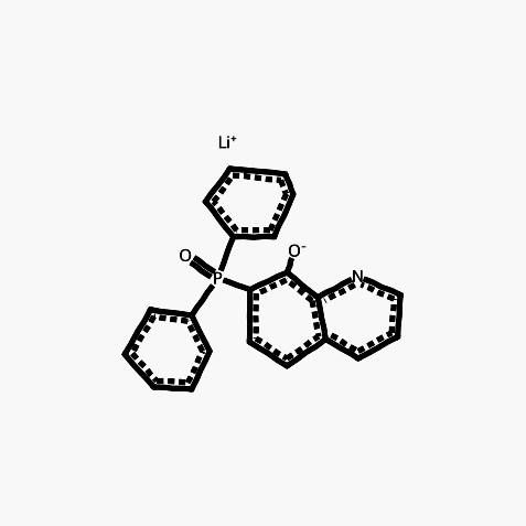 O=P(c1ccccc1)(c1ccccc1)c1ccc2cccnc2c1[O-].[Li+]